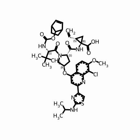 C=C[C@@H]1C[C@]1(NC(=O)[C@@H]1C[C@@H](Oc2cc(-c3csc(NC(C)C)n3)nc3c(Cl)c(OC)ccc23)CN1C(=O)[C@@H](NC(=O)OC1C2C=CC1CC2)C(C)(C)C)C(=O)O